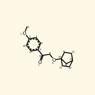 COc1ccc(C(=O)COC23CCC(CC2)C3)cc1